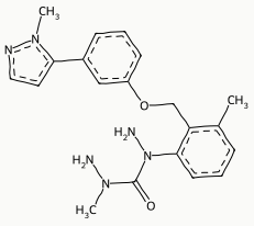 Cc1cccc(N(N)C(=O)N(C)N)c1COc1cccc(-c2ccnn2C)c1